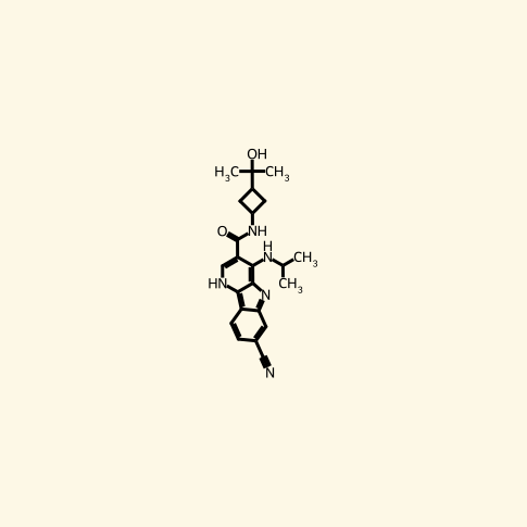 CC(C)Nc1c(C(=O)NC2CC(C(C)(C)O)C2)c[nH]c2c3ccc(C#N)cc3nc1-2